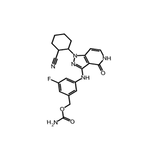 N#CC1CCCCC1n1nc(Nc2cc(F)cc(COC(N)=O)c2)c2c(=O)[nH]ccc21